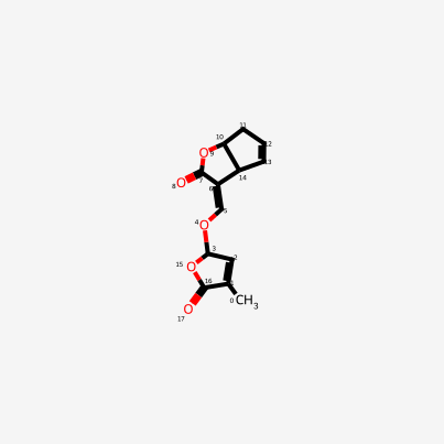 CC1=CC(OC=C2C(=O)OC3CC=CC23)OC1=O